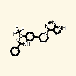 O=C(Nc1cc(C2CCCN(c3ncnc4[nH]ccc34)C2)ccc1OC(F)(F)F)c1ccccc1